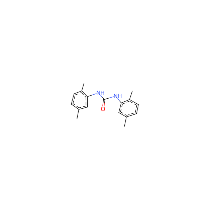 Cc1ccc(C)c(NC(=O)Nc2cc(C)ccc2C)c1